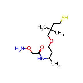 CC(CCOCC(C)(C)CCS)NC(=O)CON